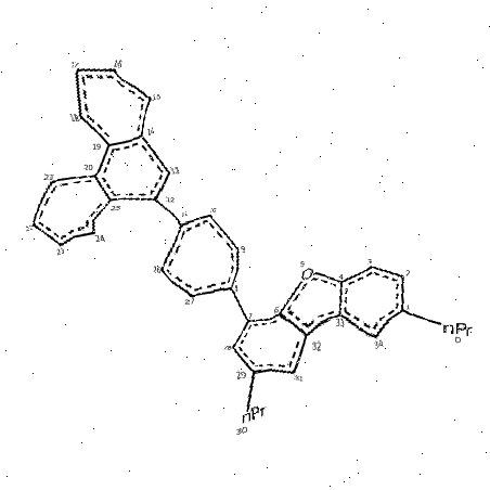 CCCc1ccc2oc3c(-c4ccc(-c5cc6ccccc6c6ccccc56)cc4)cc(CCC)cc3c2c1